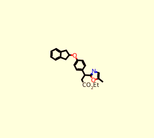 CCOC(=O)CC(c1ccc(OC2Cc3ccccc3C2)cc1)c1ncc(C)o1